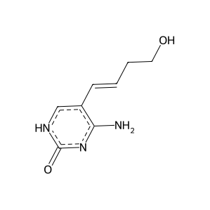 Nc1nc(=O)[nH]cc1C=CCCO